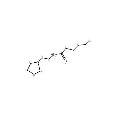 CCCCCC(=O)NCCN1CCCC1